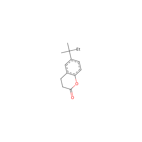 CCC(C)(C)c1ccc2c(c1)CCC(=O)O2